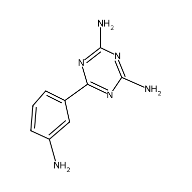 Nc1cccc(-c2nc(N)nc(N)n2)c1